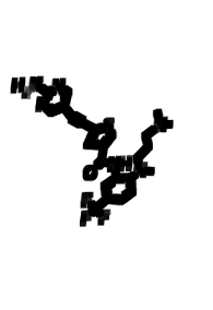 CN(C)CCCN(C)c1ccc(C(F)(F)F)cc1NC(=O)c1csc(C#Cc2cnc(N)nc2)c1